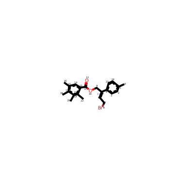 Cc1ccc(/C(=C\CBr)COC(=O)c2cc(C)c(C)c(C)c2C)cc1